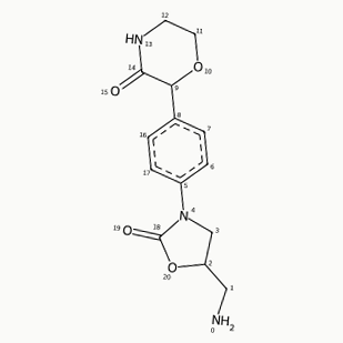 NCC1CN(c2ccc(C3OCCNC3=O)cc2)C(=O)O1